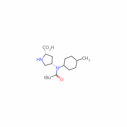 CC1CCC(N(C(=O)C(C)(C)C)[C@@H]2CN[C@H](C(=O)O)C2)CC1